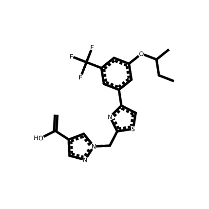 C=C(O)c1cnn(Cc2nc(-c3cc(OC(C)CC)cc(C(F)(F)F)c3)cs2)c1